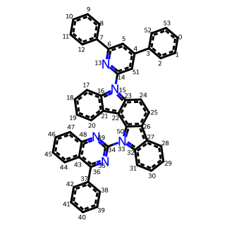 c1ccc(-c2cc(-c3ccccc3)nc(-n3c4ccccc4c4c3ccc3c5ccccc5n(-c5nc(-c6ccccc6)c6ccccc6n5)c34)c2)cc1